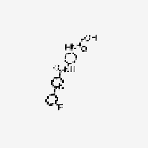 O=C(CO)N[C@H]1CC[C@H](NC(=O)c2ccc(-c3cccc(F)c3)nc2)CC1